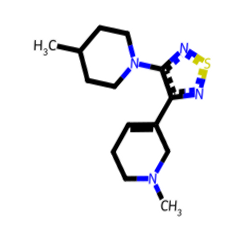 CC1CCN(c2nsnc2C2=CCCN(C)C2)CC1